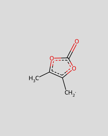 [CH2]c1oc(=O)oc1C